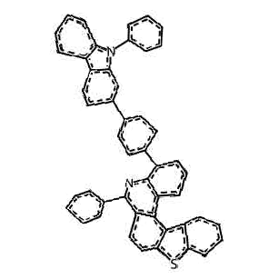 c1ccc(-c2nc3c(-c4ccc(-c5ccc6c7ccccc7n(-c7ccccc7)c6c5)cc4)cccc3c3c2ccc2sc4ccccc4c23)cc1